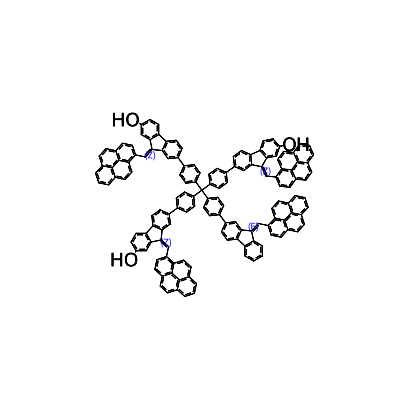 Oc1ccc2c(c1)/C(=C\c1ccc3ccc4cccc5ccc1c3c45)c1cc(-c3ccc(C(c4ccc(-c5ccc6c(c5)/C(=C/c5ccc7ccc8cccc9ccc5c7c89)c5cc(O)ccc5-6)cc4)(c4ccc(-c5ccc6c(c5)/C(=C/c5ccc7ccc8cccc9ccc5c7c89)c5cc(O)ccc5-6)cc4)c4ccc(-c5ccc6c(c5)/C(=C/c5ccc7ccc8cccc9ccc5c7c89)c5ccccc5-6)cc4)cc3)ccc1-2